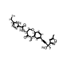 Cc1cc([C@](C)(O)C#Cc2ccc3c(c2)N(C)C(=O)[C@@H](NC(=O)c2nnc(CI)[nH]2)CO3)no1